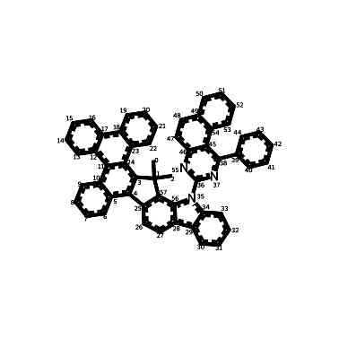 CC1(C)c2c(c3ccccc3c3c4ccccc4c4ccccc4c23)-c2ccc3c4ccccc4n(-c4nc(-c5ccccc5)c5c(ccc6ccccc65)n4)c3c21